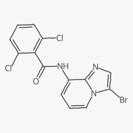 O=C(Nc1cccn2c(Br)cnc12)c1c(Cl)cccc1Cl